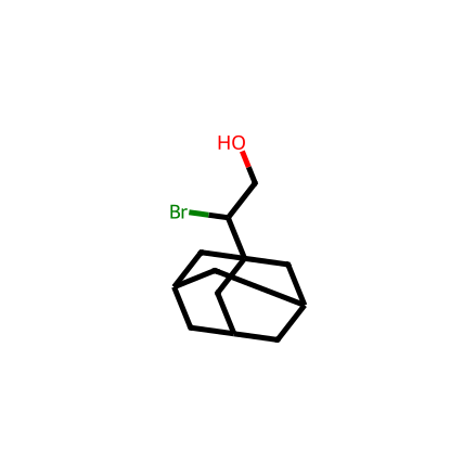 OCC(Br)C12CC3CC(CC(C3)C1)C2